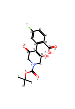 CC(C)(C)OC(=O)N1CC(=O)C(c2cc(F)ccc2C(=O)O)=C(O)C1